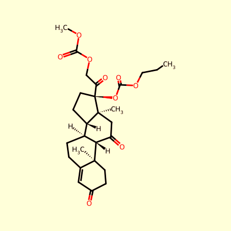 CCCOC(=O)O[C@]1(C(=O)COC(=O)OC)CC[C@H]2[C@@H]3CCC4=CC(=O)CC[C@]4(C)[C@H]3C(=O)C[C@@]21C